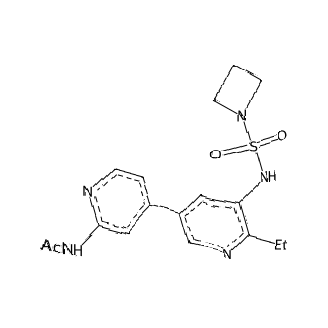 CCc1ncc(-c2ccnc(NC(C)=O)c2)cc1NS(=O)(=O)N1CCC1